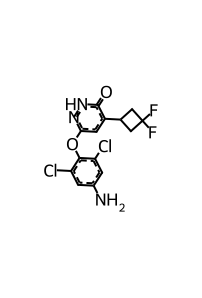 Nc1cc(Cl)c(Oc2cc(C3CC(F)(F)C3)c(=O)[nH]n2)c(Cl)c1